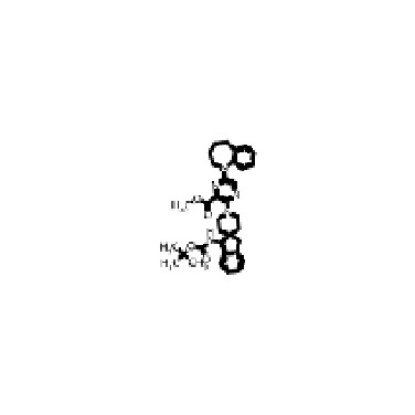 COC(=O)c1nc(N2CCCCc3ccccc32)cnc1N1CCC2(CC1)Cc1ccccc1[C@H]2NC(=O)OC(C)(C)C